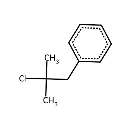 CC(C)(Cl)Cc1ccccc1